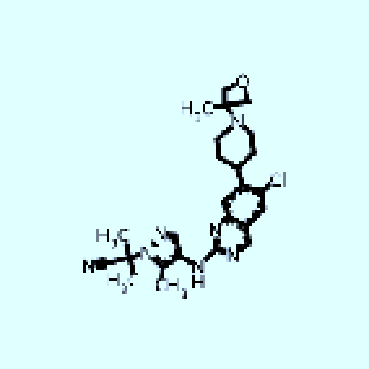 Cc1c(Nc2ncc3cc(Cl)c(C4CCN(C5(C)COC5)CC4)cc3n2)cnn1C(C)(C)C#N